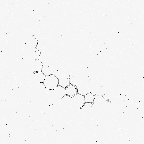 NC[C@H]1CN(c2cc(F)c(N3CCNN(C(=O)CNCCCF)CC3)c(F)c2)C(=O)O1